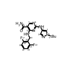 CC(C)(C)n1cc(Nc2ncc(C(N)=O)c(NCc3c(F)cccc3F)n2)cn1